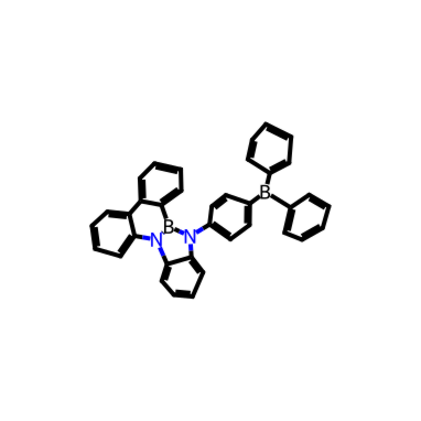 c1ccc(B(c2ccccc2)c2ccc(N3B4c5ccccc5-c5ccccc5N4c4ccccc43)cc2)cc1